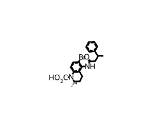 CC(CC(=O)Nc1c(Br)ccc2c1CC[C@H](C)N2C(=O)O)c1ccccc1